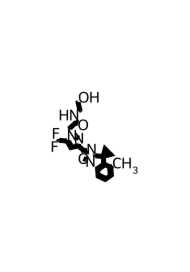 Cc1ccccc1C1(c2noc(-c3cc(C(F)F)n(CC(=O)NCCO)n3)n2)CC1